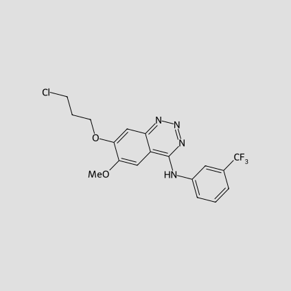 COc1cc2c(Nc3cccc(C(F)(F)F)c3)nnnc2cc1OCCCCl